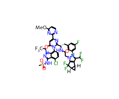 COc1ccnc(-c2cc(=O)n(-c3ccc(Cl)c4c(NS(C)(=O)=O)nn(CC(F)(F)F)c34)c([C@H](Cc3cc(F)cc(F)c3)NC(=O)Cn3nc(C(F)F)c4c3C(F)(F)[C@@H]3C[C@H]43)n2)n1